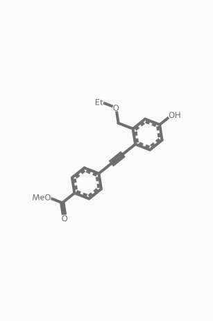 CCOCc1cc(O)ccc1C#Cc1ccc(C(=O)OC)cc1